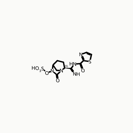 N=C(NC(=O)c1nccs1)[C@@H]1CCC2CN1C(=O)N2OS(=O)(=O)O